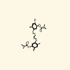 Cc1cc(F)c(OC(=O)N(C)C)cc1SSSSc1cc(OC(=O)N(C)C)c(F)cc1C